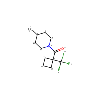 CC1CCN(C(=O)C2(C(F)(F)F)CCC2)CC1